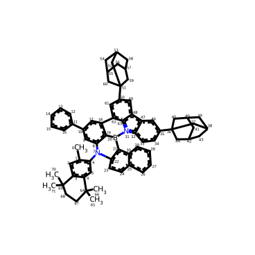 Cc1cc2c(cc1N1c3cc(-c4ccccc4)cc4c3B(c3c1ccc1ccccc31)n1c3ccc(C56CC7CC(CC(C7)C5)C6)cc3c3cc(C56CC7CC(CC(C7)C5)C6)cc-4c31)C(C)(C)CCC2(C)C